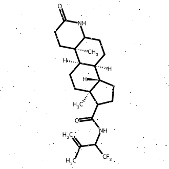 C=C(C)C(NC(=O)C1CC[C@H]2[C@@H]3CCC4NC(=O)CC[C@]4(C)[C@@H]3CC[C@]12C)C(F)(F)F